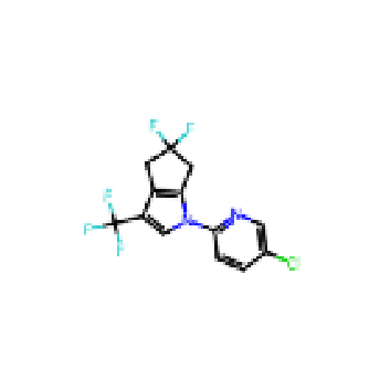 FC1(F)Cc2c(C(F)(F)F)cn(-c3ccc(Cl)cn3)c2C1